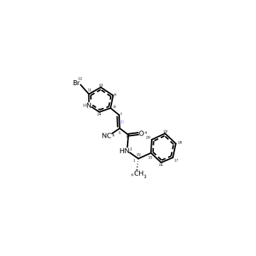 C[C@H](NC(=O)/C(C#N)=C/c1ccc(Br)nc1)c1ccccc1